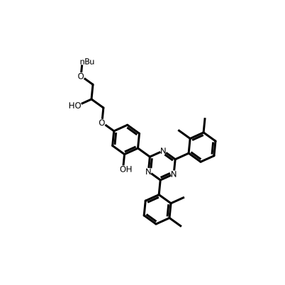 CCCCOCC(O)COc1ccc(-c2nc(-c3cccc(C)c3C)nc(-c3cccc(C)c3C)n2)c(O)c1